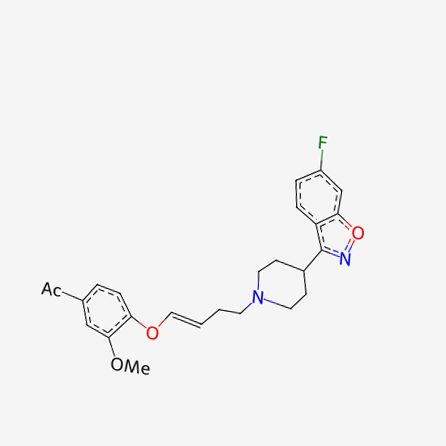 COc1cc(C(C)=O)ccc1OC=CCCN1CCC(c2noc3cc(F)ccc23)CC1